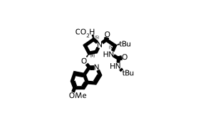 COc1ccc2c(O[C@@H]3C[C@@H](C(=O)O)N(C(=O)[C@@H](NC(=O)NC(C)(C)C)C(C)(C)C)C3)nccc2c1